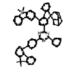 CC1(C)c2ccccc2-c2c(-c3ccc(-c4nc(-c5ccccc5)nc(-c5cc(-c6ccc7c(c6)-c6ccccc6[Si]7(C)C)c6c(c5)C5(c7ccccc7-6)C6CC7CC(C6)CC5C7)n4)cc3)cccc21